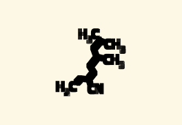 C=C/C(C#N)=C\C=C(/C)C=C(C)C